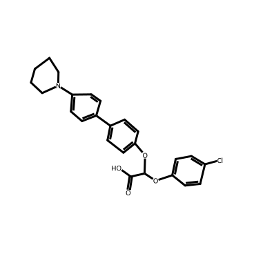 O=C(O)C(Oc1ccc(Cl)cc1)Oc1ccc(-c2ccc(N3CCCCC3)cc2)cc1